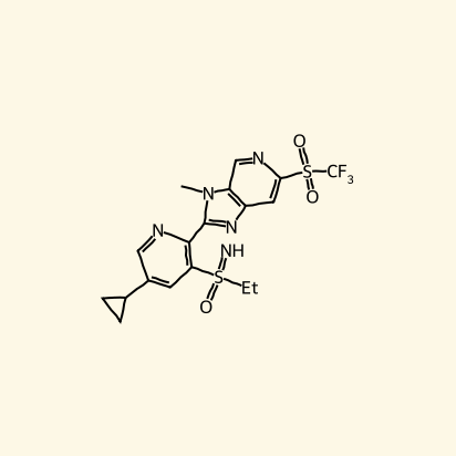 CCS(=N)(=O)c1cc(C2CC2)cnc1-c1nc2cc(S(=O)(=O)C(F)(F)F)ncc2n1C